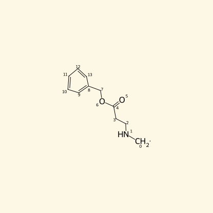 [CH2]NCCC(=O)OCc1ccccc1